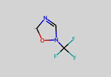 FC(F)(F)N1C=N[CH]O1